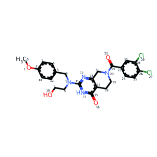 COc1ccc(CN(CCO)c2nc3c(c(=O)[nH]2)CCN(C(=O)c2ccc(Cl)c(Cl)c2)C3)cc1